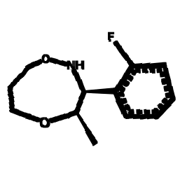 C[C@H]1OCCCON[C@H]1c1ccccc1F